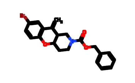 C=C1c2cc(Br)ccc2OC2CCN(C(=O)OCc3ccccc3)CC12